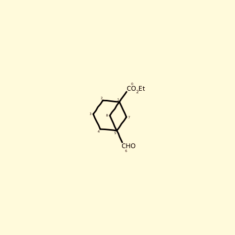 CCOC(=O)C12CCCC(C=O)(C1)C2